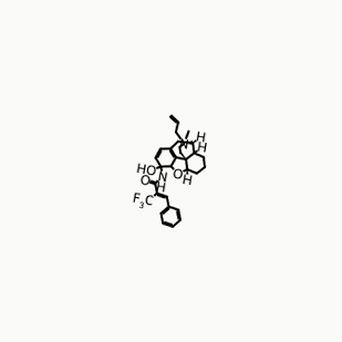 C=CC[N+]1(C)CC[C@]23C4=C5C=CC(O)(NC(=O)C(=Cc6ccccc6)C(F)(F)F)C4O[C@H]2CCC[C@H]3[C@H]1C5